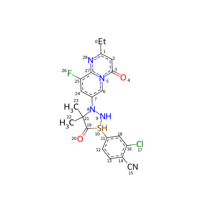 CCc1cc(=O)n2cc(N3N[SH](c4ccc(C#N)c(Cl)c4)C(=O)C3(C)C)cc(F)c2n1